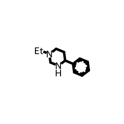 CCN1CCC(c2ccccc2)NC1